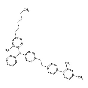 CCCCCCc1ccc(N(c2ccccc2)c2ccc(CCc3ccc(-c4ccc(C)cc4C)cc3)cc2)c(C)c1